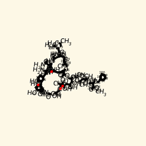 CN[C@H](CC(C)C)C(=O)NC1C(=O)N[C@@H](CC(N)=O)C(=O)N[C@H]2C(=O)N[C@@H](C(N)=O)c3ccc(O)c(c3)-c3c(O)cc(O)cc3[C@H](C(=O)O)NC(=O)C[C@H](O)c3ccc(c(Cl)c3)Oc3cc2cc(c3OC2OC(CO)C(O)C(O)C2OC(C)OC(C)C(O)C(C)(C)NCC(OCc2ccccc2)C(=O)OC)Oc2ccc(cc2Cl)[C@H]1O